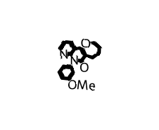 COc1cccc(-n2c(=O)c3c(c4cccnc42)OCCCC3)c1